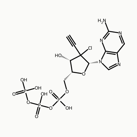 C#CC1(Cl)[C@@H](O)[C@@H](COP(=O)(O)OP(=O)(O)OP(=O)(O)O)O[C@H]1n1cnc2cnc(N)nc21